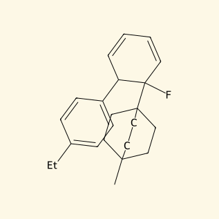 CCc1ccc(C2C=CC=CC2(F)C23CCC(C)(CC2)CC3)cc1